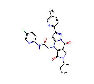 CC[C@@H](CC=O)N1Cc2c(n(CC(=O)Nc3ccc(F)cn3)c3cc(-c4ccc(C)cn4)nn3c2=O)C1=O